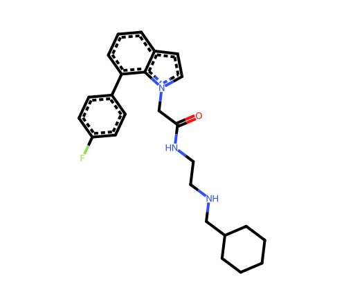 O=C(Cn1ccc2cccc(-c3ccc(F)cc3)c21)NCCNCC1CCCCC1